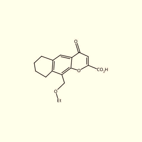 CCOCc1c2c(cc3c(=O)cc(C(=O)O)oc13)CCCC2